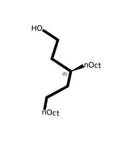 CCCCCCCCCC[C@@H](CCO)CCCCCCCC